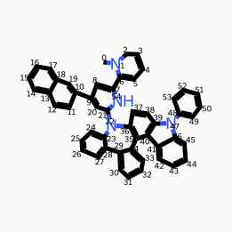 CN1CC=CC=C1C1=CC(c2ccc3ccccc3c2)=CC(N2c3ccccc3-c3ccccc3-c3c2ccc2c3c3ccccc3n2-c2ccccc2)N1